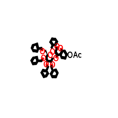 CC(=O)Oc1ccc2c(O[C@@H]3O[C@H](COCc4ccccc4)[C@@H](OCc4ccccc4)[C@H](OCc4ccccc4)[C@H]3OCc3ccccc3)c(OCc3ccccc3)c(=O)oc2c1